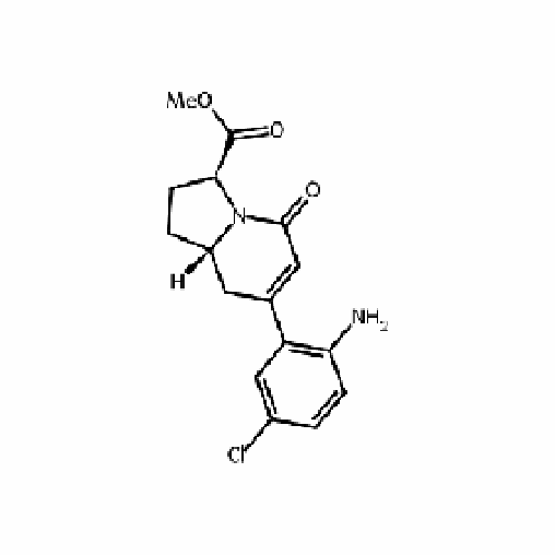 COC(=O)[C@@H]1CC[C@H]2CC(c3cc(Cl)ccc3N)=CC(=O)N21